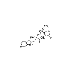 COc1ccc(F)cc1C(C)(C)CC(O)(CF)Cc1cc2ccncc2[nH]1